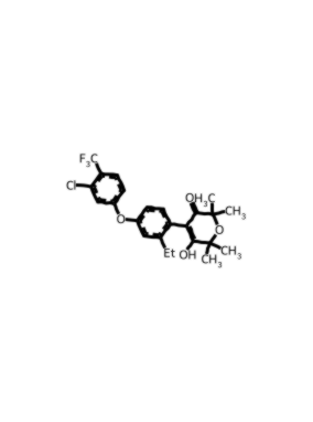 CCc1cc(Oc2ccc(C(F)(F)F)c(Cl)c2)ccc1C1=C(O)C(C)(C)OC(C)(C)C1=O